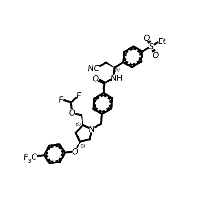 CCS(=O)(=O)c1ccc([C@H](CC#N)NC(=O)c2ccc(CN3C[C@@H](Oc4ccc(C(F)(F)F)cc4)C[C@H]3COC(F)F)cc2)cc1